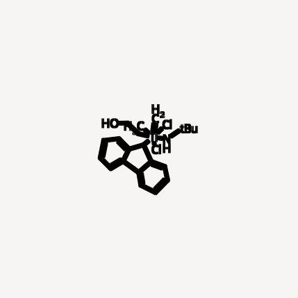 [CH2]=[Ti]([CH3])([Cl])([Cl])([CH2]CO)([NH]C(C)(C)C)[CH]1c2ccccc2-c2ccccc21